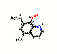 CC(=O)Nc1cc(C)c2cccnc2c1O